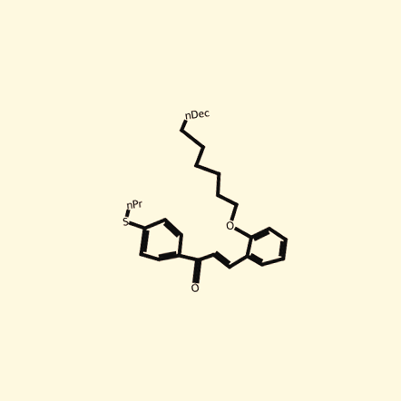 CCCCCCCCCCCCCCCCOc1ccccc1/C=C/C(=O)c1ccc(SCCC)cc1